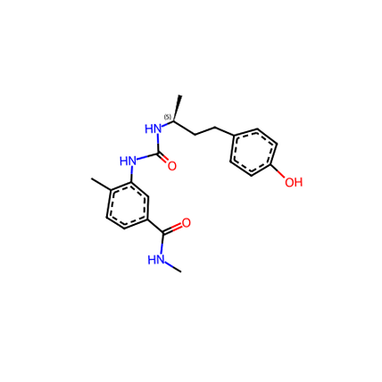 CNC(=O)c1ccc(C)c(NC(=O)N[C@@H](C)CCc2ccc(O)cc2)c1